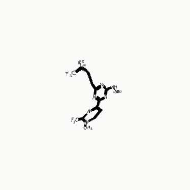 CC[C@H](CCc1nc(N[C@H](C)CC)nc(C2=NC(C(F)(F)F)N(C)C=C2)n1)C(F)(F)F